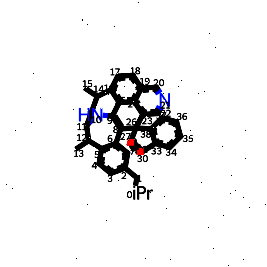 CC(C)Cc1ccc2c(c1)C1=C3NC(C2C)C(C)c2ccc4cncc(c4c23)C12c1ccccc1-c1ccccc12